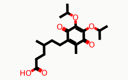 CC1=C(CCC(C)CCC(=O)O)C(=O)C(OC(C)C)=C(OC(C)C)C1=O